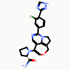 NC(=O)[C@@H]1CCCN1C1=COCC2=C3C1=CN=C(c1ccc(-c4nc[nH]n4)c(Cl)c1)N3CC2